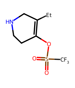 CCC1=C(OS(=O)(=O)C(F)(F)F)CCNC1